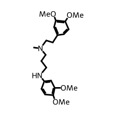 COc1ccc(CCN(C)CCCNc2ccc(OC)c(OC)c2)cc1OC